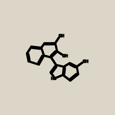 Oc1ccc2[nH]cc(-c3c(O)c(O)cc4ccccc34)c2c1